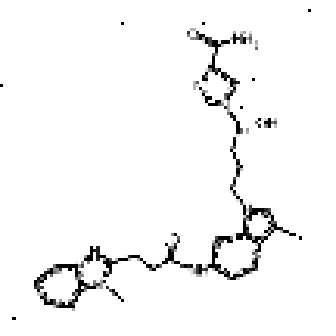 Cc1cn(CCC[C@@H](O)n2cnc(C(N)=O)c2)c2cc(NC(=O)CCc3nc4ccccc4n3C)ccc12